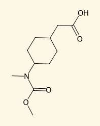 COC(=O)N(C)C1CCC(CC(=O)O)CC1